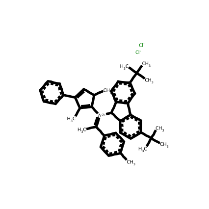 CC1=[C](/[Zr+2](=[C](\C)c2ccc(C)cc2)[CH]2c3ccc(C(C)(C)C)cc3-c3cc(C(C)(C)C)ccc32)C(C)C=C1c1ccccc1.[Cl-].[Cl-]